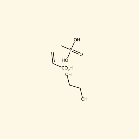 C=CC(=O)O.CP(=O)(O)O.OCCO